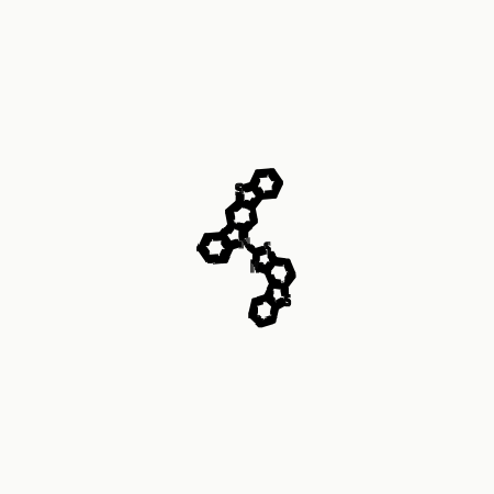 c1ccc2c(c1)sc1cc3c4ccccc4n(-c4nc5c(ccc6sc7ccccc7c65)s4)c3cc12